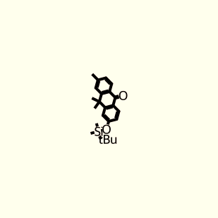 Cc1ccc2c(c1)C(C)(C)c1cc(O[Si](C)(C)C(C)(C)C)ccc1C2=O